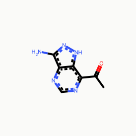 CC(=O)c1ncnc2c(N)n[nH]c12